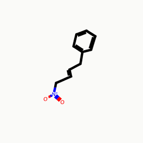 O=[N+]([O-])CC=CCc1ccccc1